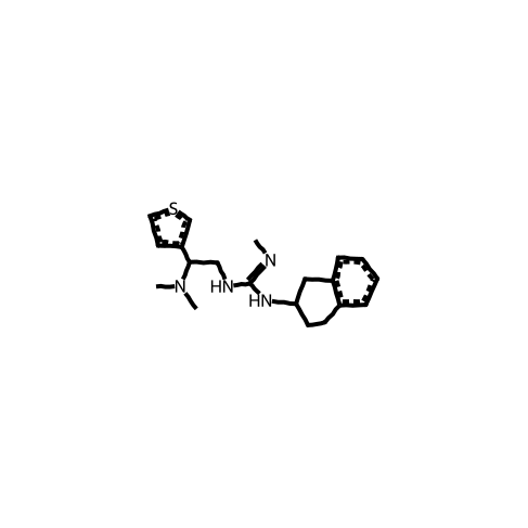 CN=C(NCC(c1ccsc1)N(C)C)NC1CCc2ccccc2C1